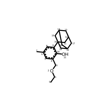 CCOCc1cc(C)cc(C23CC4CC(CC(C4)C2)C3)c1O